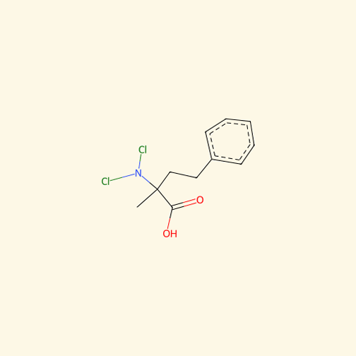 CC(CCc1ccccc1)(C(=O)O)N(Cl)Cl